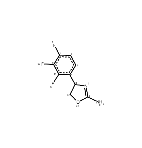 NC1=NC(c2ccc(F)c(F)c2F)CO1